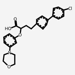 O=C(O)C(CCc1ccc(-c2ccc(Cl)cc2)cc1)Oc1cccc(N2CCOCC2)c1